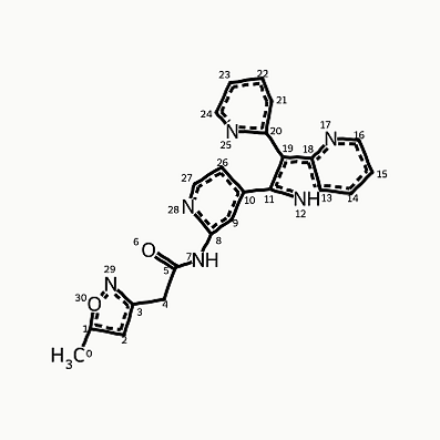 Cc1cc(CC(=O)Nc2cc(-c3[nH]c4cccnc4c3-c3ccccn3)ccn2)no1